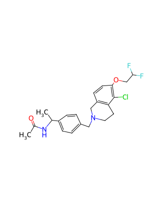 CC(=O)NC(C)c1ccc(CN2CCc3c(ccc(OCC(F)F)c3Cl)C2)cc1